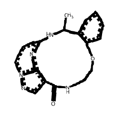 CC1Nc2ccn3ncc(c3n2)C(=O)NCCOc2ccccc21